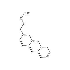 O=COCCc1ccc2cc3ccccc3cc2c1